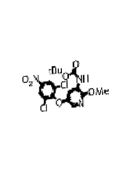 COc1ncc(Oc2c(Cl)cc([N+](=O)[O-])cc2Cl)cc1NC(=O)OC(C)(C)C